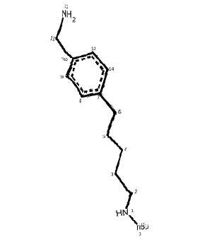 CCCCNCCC[CH]Cc1ccc(CN)cc1